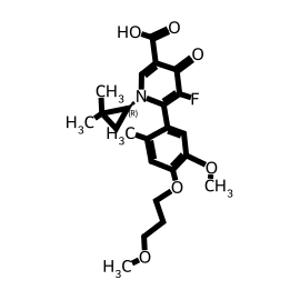 COCCCOc1cc(C)c(-c2c(F)c(=O)c(C(=O)O)cn2[C@@H]2CC2(C)C)cc1OC